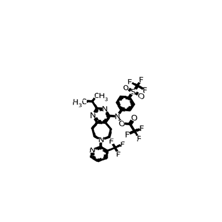 CC(C)c1nc2c(c(N(OC(=O)C(F)(F)F)c3ccc(S(=O)(=O)C(F)(F)F)cc3)n1)CCN(c1ncccc1C(F)(F)F)CC2